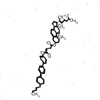 CCCCCC1CCC(c2ccc(-c3ccc(OC(=O)CCC(=O)O[C@H]4CC[C@@]5(C)C(=CCC6C5CC[C@@]5(C)C6CC[C@@H]5C(C)CCCC(C)C)C4)cc3)cc2)CC1